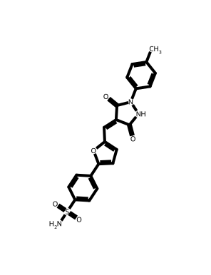 Cc1ccc(N2NC(=O)/C(=C\c3ccc(-c4ccc(S(N)(=O)=O)cc4)o3)C2=O)cc1